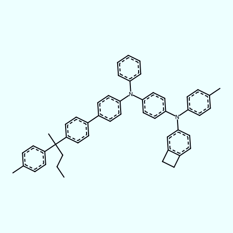 CCCC(C)(c1ccc(C)cc1)c1ccc(-c2ccc(N(c3ccccc3)c3ccc(N(c4ccc(C)cc4)c4ccc5c(c4)CC5)cc3)cc2)cc1